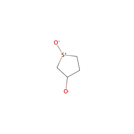 [O]C1CC[S+]([O-])C1